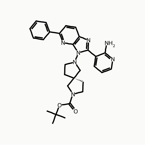 CC(C)(C)OC(=O)N1CC[C@@]2(CCN(n3c(-c4cccnc4N)nc4ccc(-c5ccccc5)nc43)C2)C1